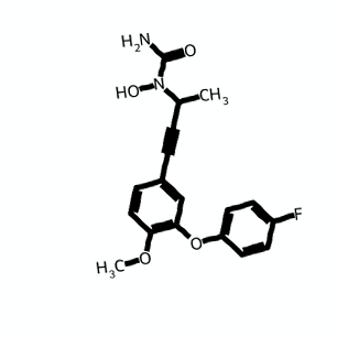 COc1ccc(C#CC(C)N(O)C(N)=O)cc1Oc1ccc(F)cc1